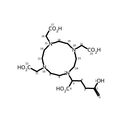 C=C(O)CCC(C(=O)O)N1CCN(CC(=O)O)CCN(CC(=O)O)CCN(CC(=O)O)CC1